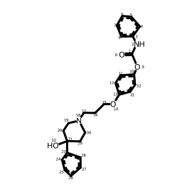 O=C(Nc1ccccc1)Oc1ccc(OCCCN2CCC(O)(c3ccccc3)CC2)cc1